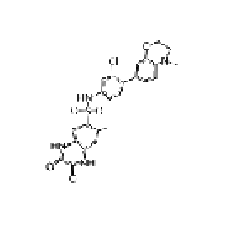 Cc1cc2[nH]c(=O)c(=O)[nH]c2cc1S(=O)(=O)Nc1ccc(-c2ccc3c(c2)OCCN3C)c(Cl)c1